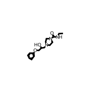 CCNC(=O)N1CCN(CC(O)COc2ccccc2)CC1